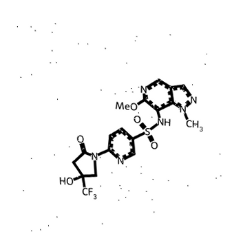 COc1ncc2cnn(C)c2c1NS(=O)(=O)c1ccc(N2CC(O)(C(F)(F)F)CC2=O)nc1